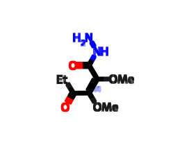 CCC(=O)/C(OC)=C(/OC)C(=O)NN